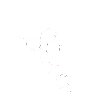 Cc1ccc(C23CCN(S(=O)(=O)c4ccc(C)cc4)C2CC(=O)c2ccccc23)cc1